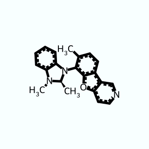 Cc1ccc2c(oc3ccncc32)c1N1c2ccccc2N(C)[C@@H]1C